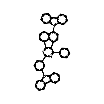 c1ccc(-c2nc(-c3cccc(-n4c5ccccc5c5ccccc54)c3)nc3c2-c2ccc(-n4c5ccccc5c5ccccc54)c4cccc-3c24)cc1